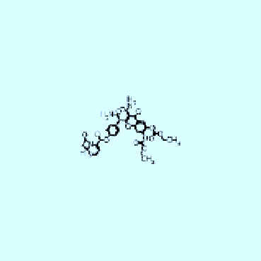 CCOC(=O)Oc1cc2oc(C(C(N)=O)c3ccc(OC(=O)C4=CCS[C@H]5CC(=O)N45)cc3)c(C(N)=O)c(=O)c2cc1OC(=O)OCC